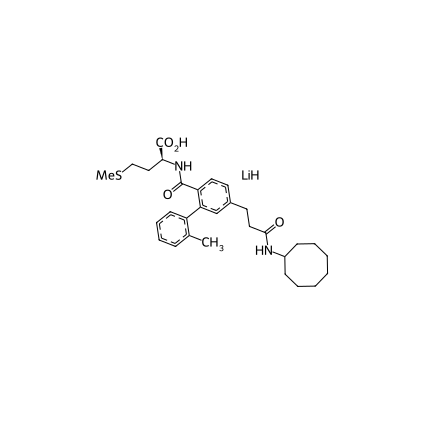 CSCC[C@H](NC(=O)c1ccc(CCC(=O)NC2CCCCCCC2)cc1-c1ccccc1C)C(=O)O.[LiH]